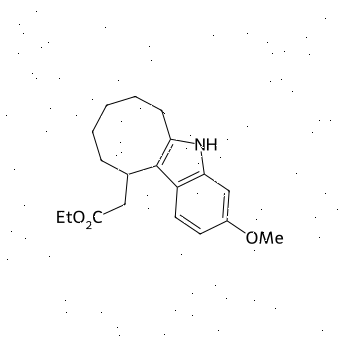 CCOC(=O)CC1CCCCCc2[nH]c3cc(OC)ccc3c21